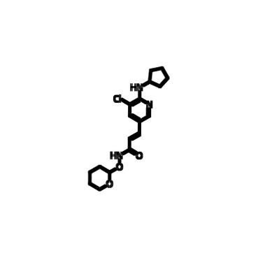 O=C(/C=C/c1cnc(NC2CCCC2)c(Cl)c1)NOC1CCCCO1